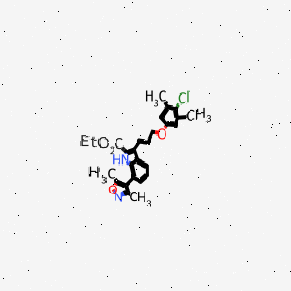 CCOC(=O)c1[nH]c2c(-c3c(C)noc3C)cccc2c1CCCOc1cc(C)c(Cl)c(C)c1